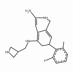 Cc1cccc(F)c1C1C=C2CNC(N)=CC2=C(NCC2CNC2)C1